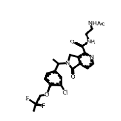 CC(=O)NCCNC(=O)c1nccc2c1CN(C(C)c1ccc(OCC(C)(F)F)c(Cl)c1)C2=O